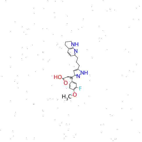 COc1ccc([C@@H](CC(=O)O)c2cc(CCCc3ccc4c(n3)NCCC4)[nH]n2)cc1F